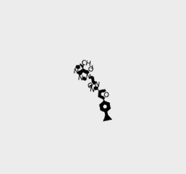 Cn1cnc2ncn(Cc3nc([C@@H]4CO[C@@H](c5ccc(C6CC6)cc5)C4)no3)c(=O)c21